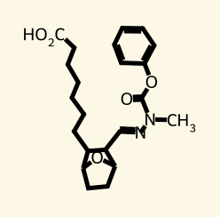 CN(/N=C/C1C2CCC(O2)C1CCCCCCC(=O)O)C(=O)Oc1ccccc1